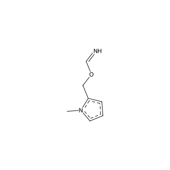 Cn1cccc1COC=N